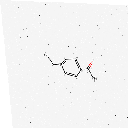 CCCC(=O)c1ccc(CC(C)C)cc1